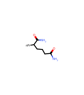 CCCC(CCCC(N)=O)C(N)=O